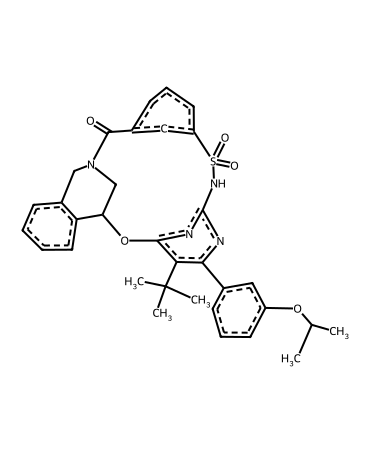 CC(C)Oc1cccc(-c2nc3nc(c2C(C)(C)C)OC2CN(Cc4ccccc42)C(=O)c2cccc(c2)S(=O)(=O)N3)c1